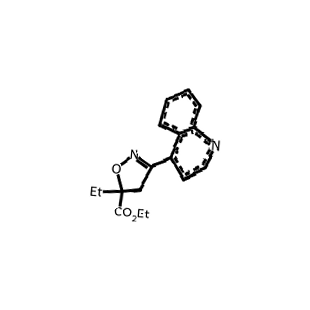 CCOC(=O)C1(CC)CC(c2ccnc3ccccc23)=NO1